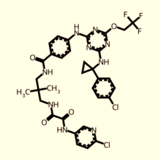 CC(C)(CNC(=O)C(=O)Nc1ccc(Cl)nc1)CNC(=O)c1ccc(Nc2nc(NC3(c4ccc(Cl)cc4)CC3)nc(OCC(F)(F)F)n2)cc1